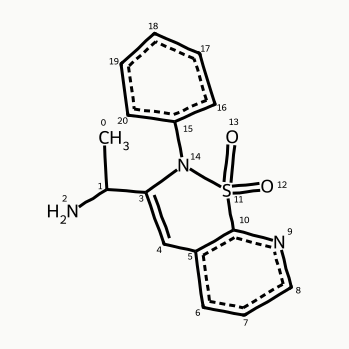 CC(N)C1=Cc2cccnc2S(=O)(=O)N1c1ccccc1